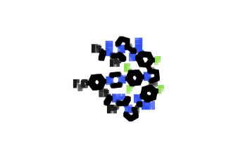 C=C(CC)N[C@H](C(=C)N1CCC[C@H]1c1nc2c([nH]1)=CC(F)C([C@H]1CC[C@H](c3cc4nc([C@@H]5CCCN5C(=C)[C@@H](NC(=C)CC)C(C)C)[nH]c4cc3F)N1c1cc(F)c(N3CCN(c4ccc(C(F)(F)F)cc4)CC3)c(F)c1)C=2)C(C)C